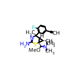 C#Cc1ccc(F)c([C@@]2(C)N=C(N)S[C@]3(C(OC)N(C)C)[C@H]2[C@@H]3C)c1